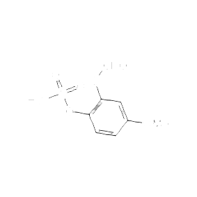 COc1ccc(OS(C)(=O)=O)c(OC=O)c1